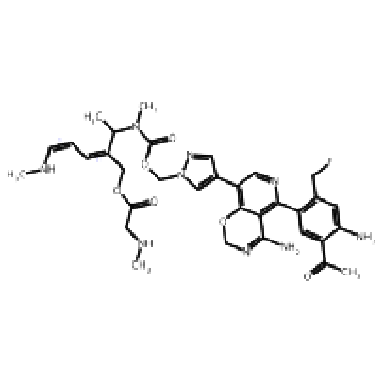 CN/C=C\C=C(\COC(=O)CNC)C(C)N(C)C(=O)OCn1cc(-c2cnc(-c3cc(C(C)=O)c(N)cc3CF)c3c2OCN=C3N)cn1